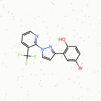 Oc1ccc(Br)cc1-c1ccn(-c2ncccc2C(F)(F)F)n1